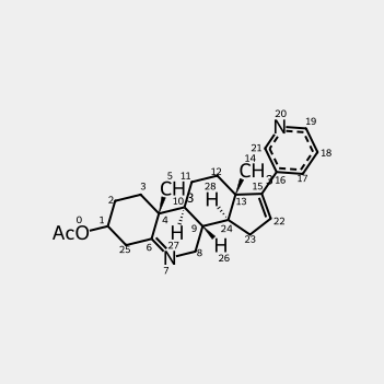 CC(=O)OC1CC[C@@]2(C)C(=NC[C@@H]3[C@@H]2CC[C@]2(C)C(c4cccnc4)=CC[C@@H]32)C1